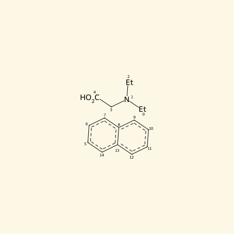 CCN(CC)CC(=O)O.c1ccc2ccccc2c1